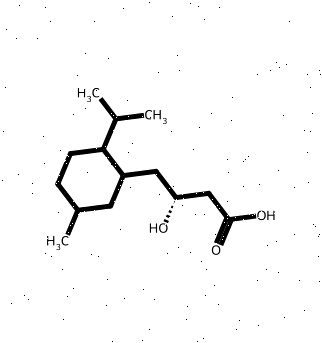 CC1CCC(C(C)C)C(C[C@@H](O)CC(=O)O)C1